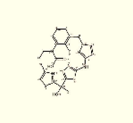 CCN(C(=O)O)c1cccc(Cn2ccc(Nc3nnc(C(C)(O)c4nc(C)cs4)s3)n2)c1F